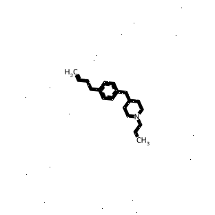 C=CCCc1ccc(CC2CCN(CCC)CC2)cc1